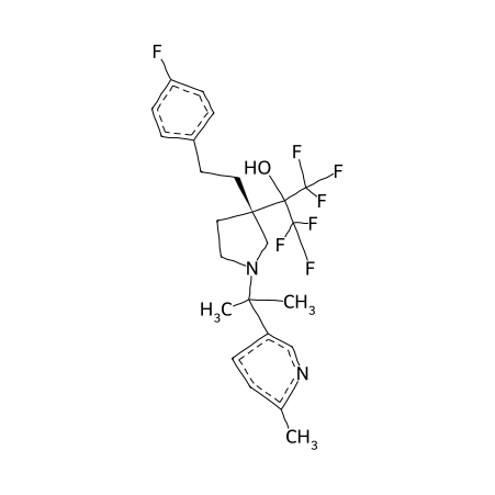 Cc1ccc(C(C)(C)N2CC[C@](CCc3ccc(F)cc3)(C(O)(C(F)(F)F)C(F)(F)F)C2)cn1